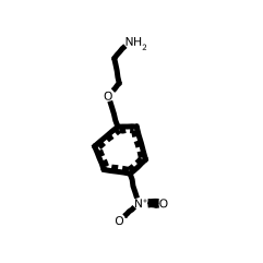 NCCOc1[c]cc([N+](=O)[O-])cc1